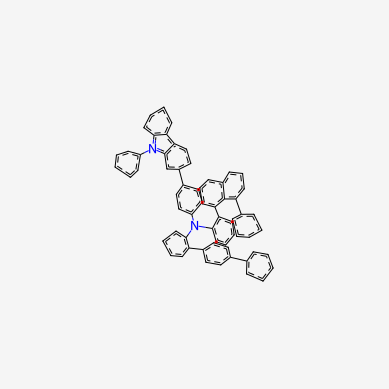 c1ccc(-c2ccc(-c3ccccc3N(c3ccc(-c4ccc5c6ccccc6n(-c6ccccc6)c5c4)cc3)c3ccccc3-c3cccc4cccc(-c5ccccc5)c34)cc2)cc1